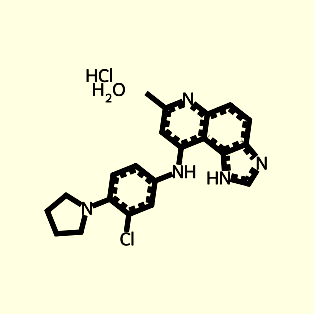 Cc1cc(Nc2ccc(N3CCCC3)c(Cl)c2)c2c(ccc3nc[nH]c32)n1.Cl.O